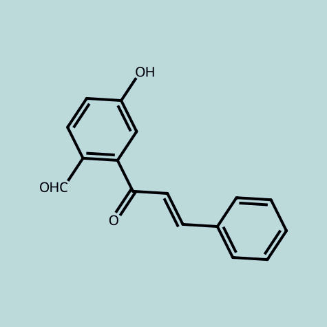 O=Cc1ccc(O)cc1C(=O)C=Cc1ccccc1